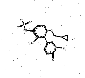 CCS(=O)(=O)Nc1ccc(OCC2CC2)c(-c2ccc(=O)n(C)c2)c1C